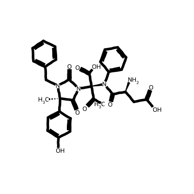 CC(=O)[C@@](C(=O)O)(N1C(=O)N(Cc2ccccc2)[C@](C)(c2ccc(O)cc2)C1=O)N(C(=O)[C@@H](N)CC(=O)O)c1ccccc1